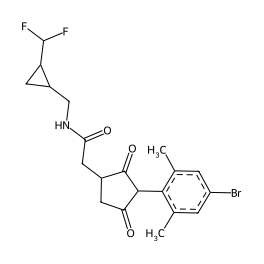 Cc1cc(Br)cc(C)c1C1C(=O)CC(CC(=O)NCC2CC2C(F)F)C1=O